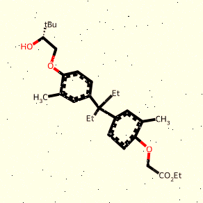 CCOC(=O)COc1ccc(C(CC)(CC)c2ccc(OC[C@H](O)C(C)(C)C)c(C)c2)cc1C